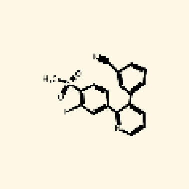 CS(=O)(=O)c1ccc(-c2ncccc2-c2cccc(C#N)c2)cc1F